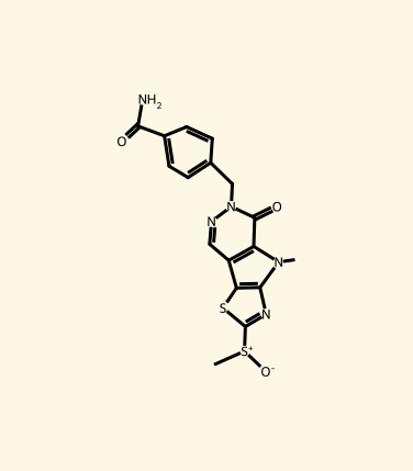 Cn1c2nc([S+](C)[O-])sc2c2cnn(Cc3ccc(C(N)=O)cc3)c(=O)c21